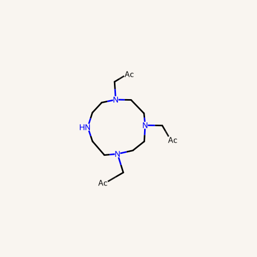 CC(=O)CN1CCNCCN(CC(C)=O)CCN(CC(C)=O)CC1